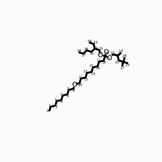 CCCCCCCCCOCCCCCCCCCC([O])(OCC(C)CC(C)(C)C)OCC(CC)CCCC